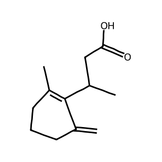 C=C1CCCC(C)=C1C(C)CC(=O)O